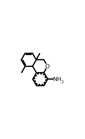 CC1=CC=CC2(C)COc3c(N)cccc3C12